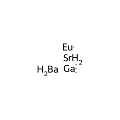 [BaH2].[Eu].[Ga].[SrH2]